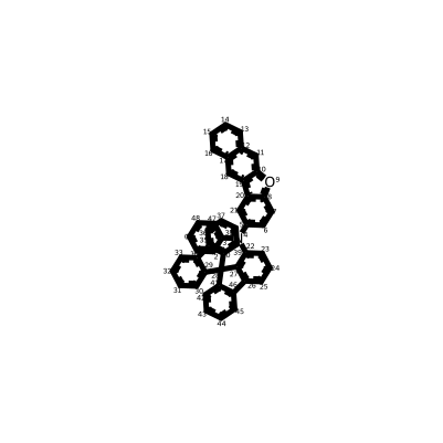 c1ccc(N(c2ccc3oc4cc5ccccc5cc4c3c2)c2cccc3c2C2(c4ccccc4-c4ccccc42)c2ccccc2-3)cc1